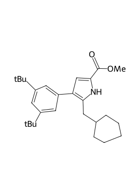 COC(=O)c1cc(-c2cc(C(C)(C)C)cc(C(C)(C)C)c2)c(CC2CCCCC2)[nH]1